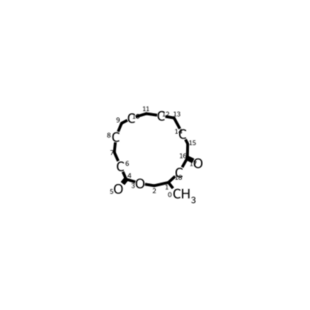 CC1COC(=O)CCCCCCCCCCC(=O)C1